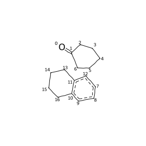 O=C1CCCCC1.c1ccc2c(c1)CCCC2